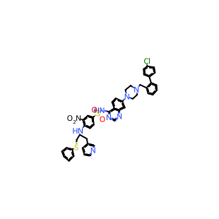 O=[N+]([O-])c1cc(S(=O)(=O)Nc2ncnc3cc(N4CCN(Cc5ccccc5-c5ccc(Cl)cc5)CC4)ccc23)ccc1NC(CSc1ccccc1)Cc1cccnc1